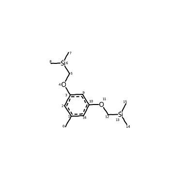 Cc1cc(OC[Si](C)C)cc(OC[Si](C)C)c1